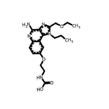 CCCn1c(COCC)nc2c(N)nc3ccc(OCCNC(=O)O)cc3c21